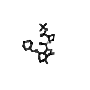 Cc1ccc(OCc2ccccc2)c2c(C(=O)[C@H]3CCN3C(=O)OC(C)(C)C)c[nH]c12